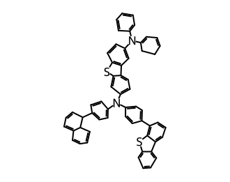 C1=CCCC(N(c2ccccc2)c2ccc3sc4cc(N(c5ccc(-c6cccc7c6sc6ccccc67)cc5)c5ccc(C6C=CC=C7C=CC=CC76)cc5)ccc4c3c2)=C1